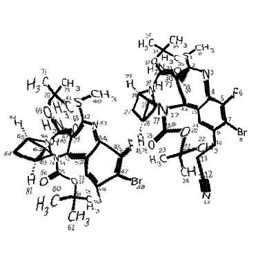 CSc1nc2c(F)c(Br)c(CCC#N)cc2c(N(C(=O)OC(C)(C)C)[C@H]2[C@@H]3C[C@H]2N(C(=O)OC(C)(C)C)C3)c1N.CSc1nc2c(F)c(Br)c(I)cc2c(N(C(=O)OC(C)(C)C)[C@H]2[C@@H]3C[C@H]2N(C(=O)OC(C)(C)C)C3)c1N